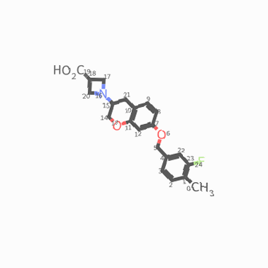 Cc1ccc(COc2ccc3c(c2)OCC(N2CC(C(=O)O)C2)C3)cc1F